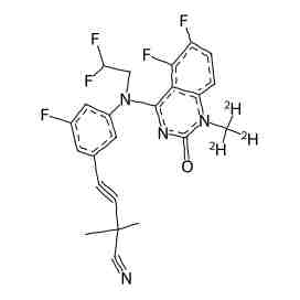 [2H]C([2H])([2H])n1c(=O)nc(N(CC(F)F)c2cc(F)cc(C#CC(C)(C)C#N)c2)c2c(F)c(F)ccc21